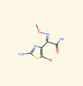 CO/N=C(/C([NH])=O)c1nc(N)sc1Br